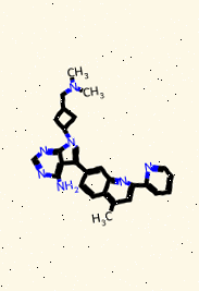 Cc1cc(-c2ccccn2)nc2cc(-c3cn(C4CC(CN(C)C)C4)c4ncnc(N)c34)ccc12